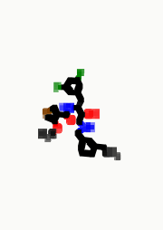 CCc1cccc(CNC[C@H](O)[C@H](Cc2cc(F)cc(F)c2)NC(=O)c2cscc2OC)c1